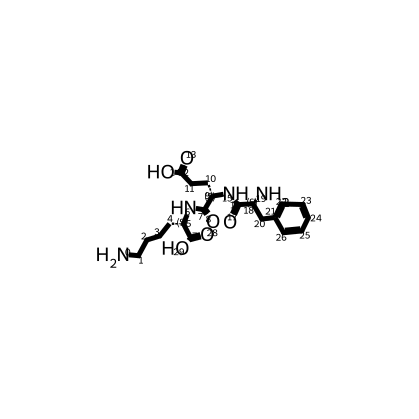 NCCCC[C@H](NC(=O)[C@H](CCC(=O)O)NC(=O)[C@@H](N)Cc1ccccc1)C(=O)O